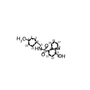 Cc1ccc(CNS(=O)(=O)c2ccc(O)c3ncccc23)cc1